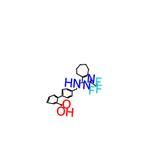 O=C(O)c1ccccc1-c1ccc(CNc2nc(C(F)(F)F)nc3c2CCCCC3)cc1